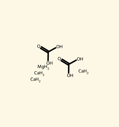 O=C(O)O.O=C(O)O.[CaH2].[CaH2].[CaH2].[MgH2]